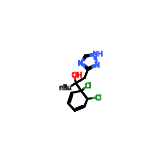 CCCCC(O)(Cc1nc[nH]n1)C1(Cl)C=CC=CC1Cl